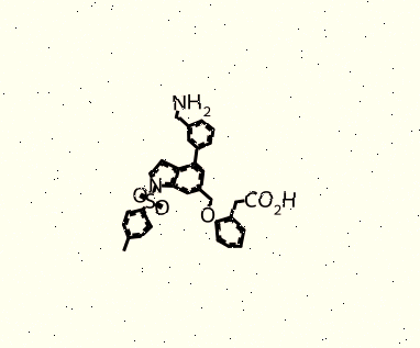 Cc1ccc(S(=O)(=O)n2ccc3c(-c4cccc(CN)c4)cc(COc4ccccc4CC(=O)O)cc32)cc1